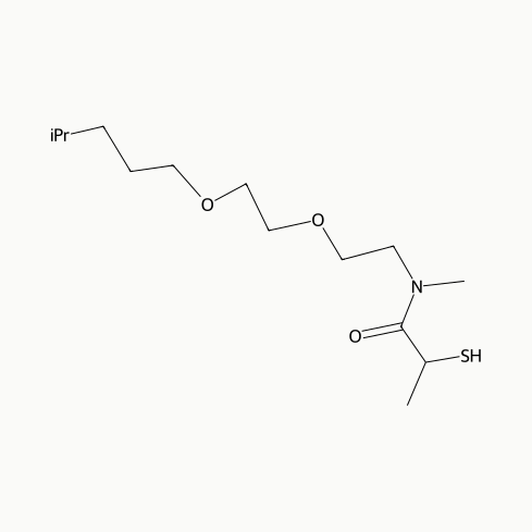 CC(C)CCCOCCOCCN(C)C(=O)C(C)S